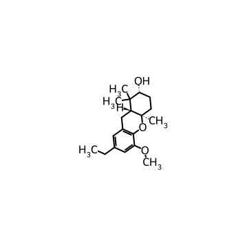 CCc1cc2c(c(OC)c1)O[C@]1(C)CC[C@@H](O)C(C)(C)[C@H]1C2